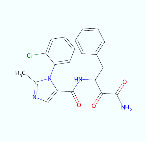 Cc1ncc(C(=O)NC(Cc2ccccc2)C(=O)C(N)=O)n1-c1ccccc1Cl